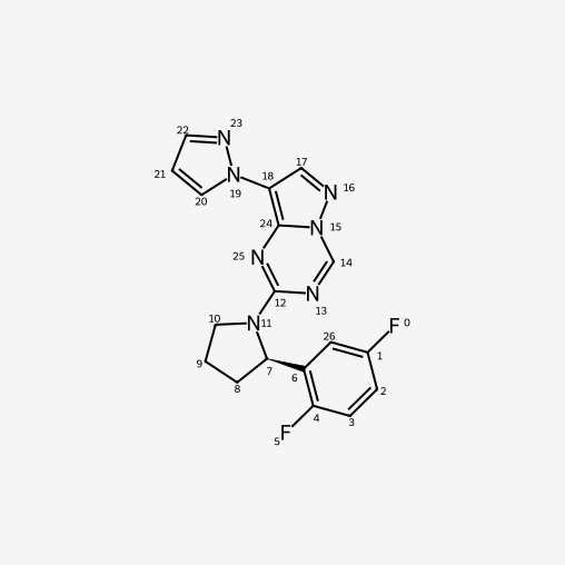 Fc1ccc(F)c([C@H]2CCCN2c2ncn3ncc(-n4cccn4)c3n2)c1